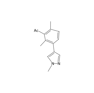 CC(=O)c1c(C)ccc(-c2cnn(C)c2)c1C